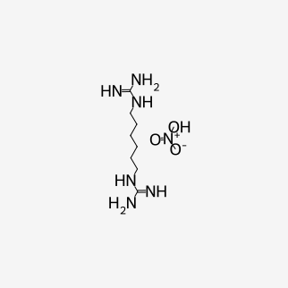 N=C(N)NCCCCCCNC(=N)N.O=[N+]([O-])O